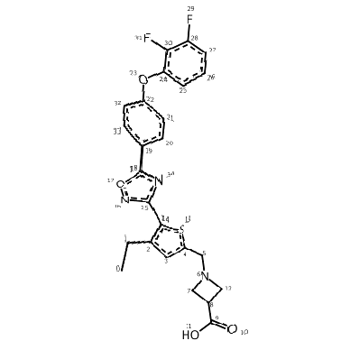 CCc1cc(CN2CC(C(=O)O)C2)sc1-c1noc(-c2ccc(Oc3cccc(F)c3F)cc2)n1